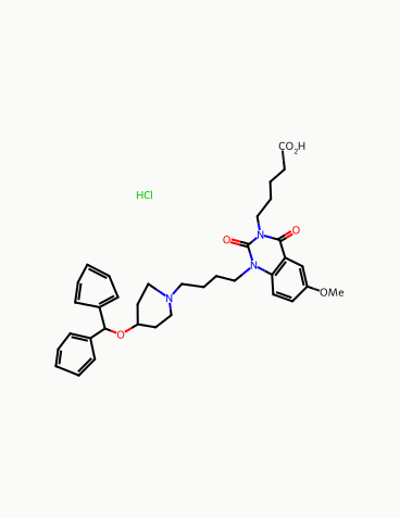 COc1ccc2c(c1)c(=O)n(CCCCC(=O)O)c(=O)n2CCCCN1CCC(OC(c2ccccc2)c2ccccc2)CC1.Cl